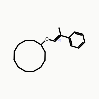 C/C(=C\OC1CCCCCCCCCCC1)c1ccccc1